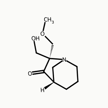 COC[C@@]1(CO)C(=O)[C@H]2CCCN1C2